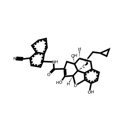 N#Cc1ccc(NC(=O)C2=C(O)[C@@H]3Oc4c(O)ccc5c4[C@@]34CCN(CC3CC3)[C@H](C5)[C@]4(O)C2)c2ccccc12